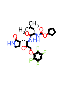 CC(C)C[C@H](NC(=O)OC1CCCC1)C(=O)N[C@@H](C[C@@H]1CCNC1=O)C(=O)COc1c(F)c(F)cc(F)c1F